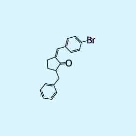 O=C1/C(=C\c2ccc(Br)cc2)CCC1Cc1ccccc1